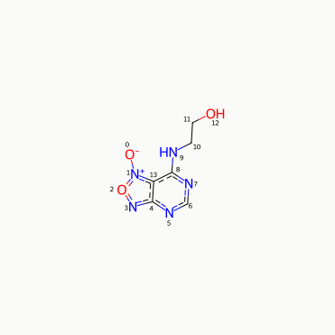 [O-][n+]1onc2ncnc(NCCO)c21